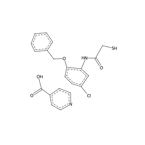 O=C(CS)Nc1cc(Cl)ccc1OCc1ccccc1.O=C(O)c1ccncc1